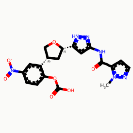 Cn1nccc1C(=O)Nc1cc([C@@H]2C[C@H](c3cc([N+](=O)[O-])ccc3OC(=O)O)CO2)[nH]n1